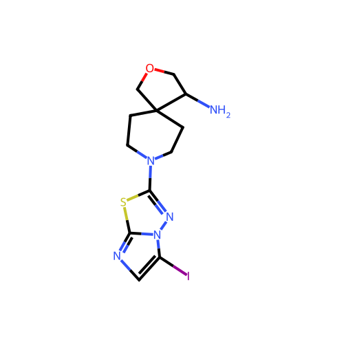 NC1COCC12CCN(c1nn3c(I)cnc3s1)CC2